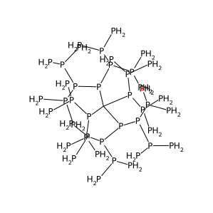 PP(P)P(P(P)P)P(P(P(P)P)P(P)P)C(P(P(P)P)P(P)P)(P(P(P)P)P(P)P)P(P(P(P)P)P(P)P)P(P(P)P)P(P)P